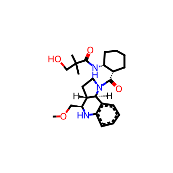 COC[C@@H]1Nc2ccccc2[C@H]2[C@H]1CCN2C(=O)[C@H]1CCCC[C@H]1NC(=O)C(C)(C)CO